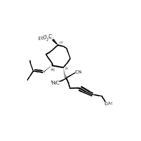 CCOC(=O)[C@H]1CC[C@H](C(C#N)(C#N)CC#CCOC(C)=O)[C@H](C=C(C)C)C1